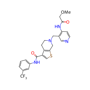 COCC(=O)Nc1ccncc1CN1CCc2c(C(=O)Nc3cccc(C(F)(F)F)c3)csc2C1